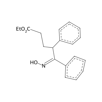 CCOC(=O)CCC(C(=NO)c1ccccc1)c1ccccc1